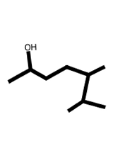 CC(O)CCC(C)C(C)C